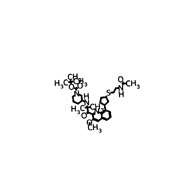 COc1cc2cccc(C3CCC(SCCNC(C)=O)C3)c2nc1C(=O)C(C)(C)NC1CCCN(C(=O)OC(C)(C)C)C1